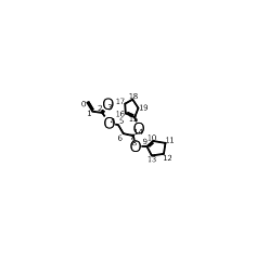 C=CC(=O)OCCC(OC1=CCCC1)OC1=CCCC1